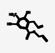 C=CCOC(=O)c1cc(O)c(C(=O)O)c(O)c1CC=C